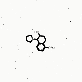 COc1cccc2c1CCC(O)C2N1CCCC1